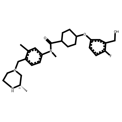 Cc1cc(N(C)C(=O)C2CCC(Oc3ccc(F)c(CO)c3)CC2)ccc1CN1CCN[C@@H](C)C1